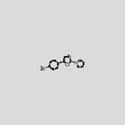 Brc1ccc(-c2cnc(-n3cccc3)o2)cc1